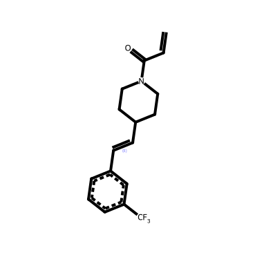 C=CC(=O)N1CCC(/C=C/c2cccc(C(F)(F)F)c2)CC1